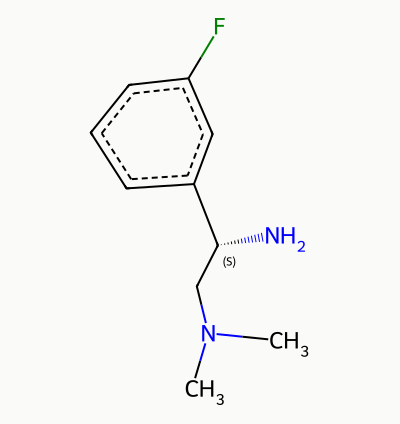 CN(C)C[C@@H](N)c1cccc(F)c1